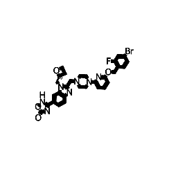 O=c1nc(-c2ccc3nc(CN4CCN(c5cccc(OCc6ccc(Br)cc6F)n5)CC4)n(C[C@@H]4CCO4)c3c2)[nH]o1